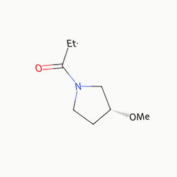 C[CH]C(=O)N1CC[C@@H](OC)C1